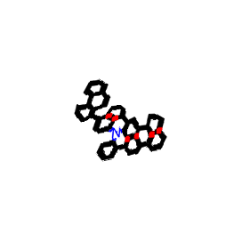 c1ccc(-c2ccc(-c3ccccc3N(c3ccc(-c4cccc5c4ccc4ccccc45)cc3)c3ccc(-c4ccccc4)cc3-c3ccccc3)cc2)cc1